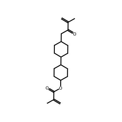 C=C(C)C(=O)CC1CCC(C2CCC(OC(=O)C(=C)C)CC2)CC1